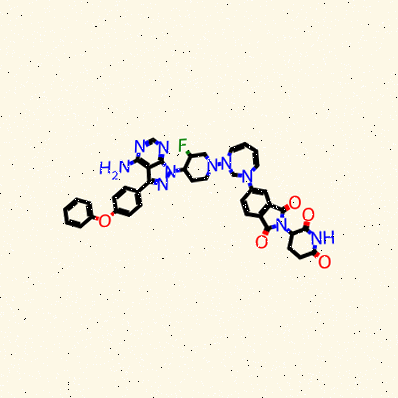 Nc1ncnc2c1c(-c1ccc(Oc3ccccc3)cc1)nn2C1CCN(N2C=CC=CN(c3ccc4c(c3)C(=O)N(C3CCC(=O)NC3=O)C4=O)C2)CC1F